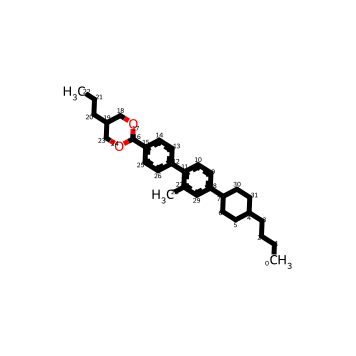 CCCCC1CCC(c2ccc(-c3ccc(C4OCC(CCC)CO4)cc3)c(C)c2)CC1